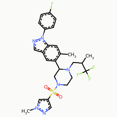 Cc1cc2c(cnn2-c2ccc(F)cc2)cc1C1CN(S(=O)(=O)c2cnn(C)c2)CCN1CC(C)C(F)(F)F